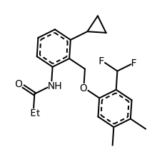 CCC(=O)Nc1cccc(C2CC2)c1COc1cc(C)c(C)cc1C(F)F